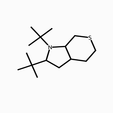 CC(C)(C)C1CC2CCSCC2N1C(C)(C)C